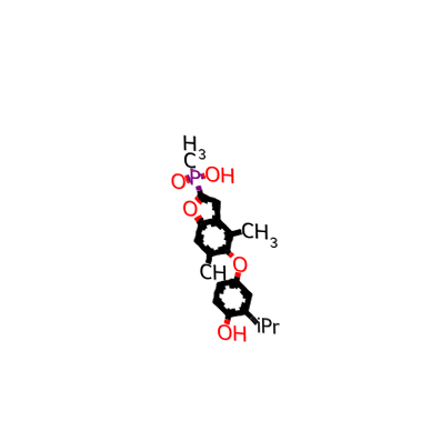 Cc1cc2oc(P(C)(=O)O)cc2c(C)c1Oc1ccc(O)c(C(C)C)c1